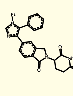 CCn1cnc(-c2ccc3c(c2)CN(C2CCC(=O)NC2=O)C3=O)c1-c1ccccc1